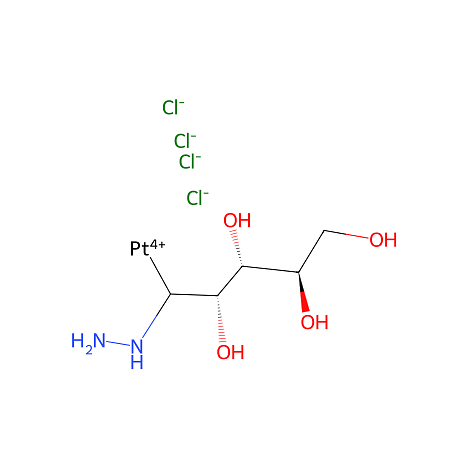 NN[CH]([Pt+4])[C@@H](O)[C@H](O)[C@H](O)CO.[Cl-].[Cl-].[Cl-].[Cl-]